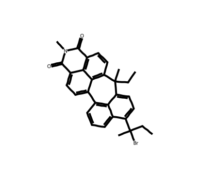 CCC(C)(Br)c1ccc2c3c(cccc13)-c1ccc3c4c(ccc(c14)C2(C)CC)C(=O)N(C)C3=O